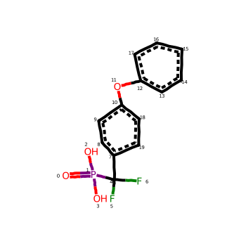 O=P(O)(O)C(F)(F)c1ccc(Oc2c[c]ccc2)cc1